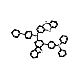 c1ccc(-c2ccc(N(c3ccc4c(c3)Oc3ccccc3O4)c3cc(-c4ccc(N(c5ccccc5)c5ccccc5)cc4)c4oc5ccccc5c4c3)cc2)cc1